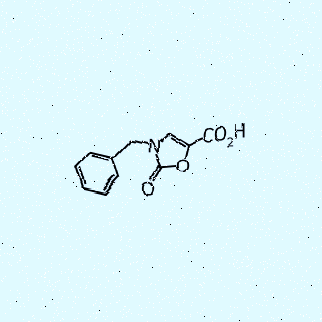 O=C(O)c1cn(Cc2ccccc2)c(=O)o1